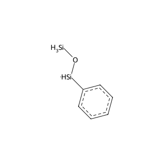 [SiH3]O[SiH]c1ccccc1